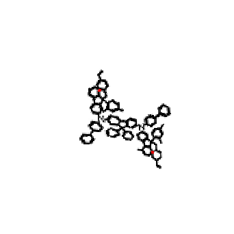 C=Cc1ccc(CC2(c3ccc(C)cc3C)c3ccccc3-c3ccc(N(c4ccc(-c5ccccc5)cc4)c4ccc5c(c4)C(c4ccccc4)(c4ccccc4)c4cc(N(c6ccc(-c7ccccc7)cc6)c6ccc7c(c6)C(CC6=CCC(C=C)CC6)(c6ccc(C)cc6C)C6=C7C(C)=CCC6)ccc4-5)cc32)cc1